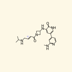 CNc1cc(-c2c[nH]c(=O)c(NC3CN(C(=O)/C=C/CNC(C)C)C3)c2)ccn1